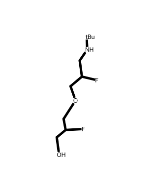 CC(C)(C)NCC(F)COCC(F)CO